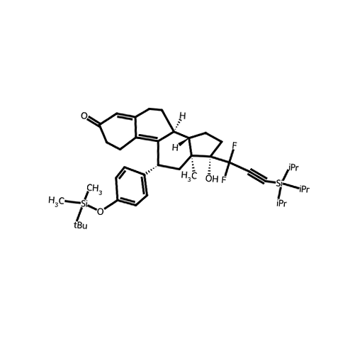 CC(C)[Si](C#CC(F)(F)[C@]1(O)CC[C@H]2[C@@H]3CCC4=CC(=O)CCC4=C3[C@@H](c3ccc(O[Si](C)(C)C(C)(C)C)cc3)C[C@@]21C)(C(C)C)C(C)C